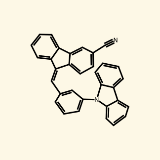 N#Cc1ccc2c(c1)-c1ccccc1/C2=C/c1cccc(-n2c3ccccc3c3ccccc32)c1